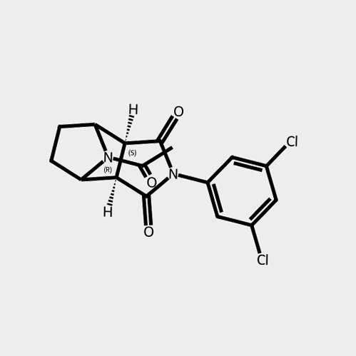 CC(=O)N1C2CCC1[C@@H]1C(=O)N(c3cc(Cl)cc(Cl)c3)C(=O)[C@H]21